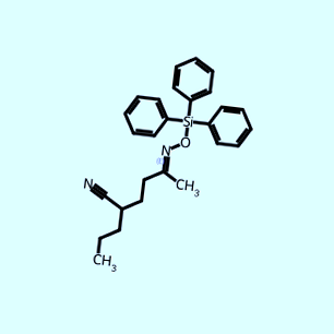 CCCC(C#N)CC/C(C)=N/O[Si](c1ccccc1)(c1ccccc1)c1ccccc1